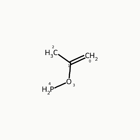 C=C(C)OP